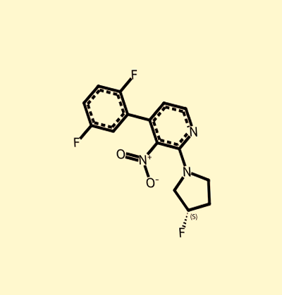 O=[N+]([O-])c1c(-c2cc(F)ccc2F)ccnc1N1CC[C@H](F)C1